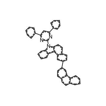 c1ccc(-c2cc(-c3ccccc3)nc(-n3c4ccccc4c4c5cc(-c6ccc7ccc8ccccc8c7c6)ccc5ccc43)n2)cc1